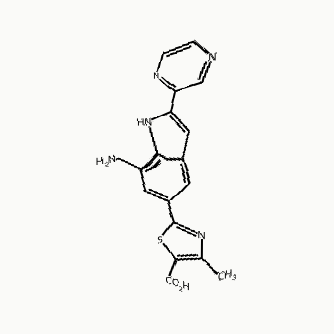 Cc1nc(-c2cc(N)c3[nH]c(-c4cnccn4)cc3c2)sc1C(=O)O